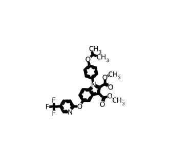 COC(=O)c1c(C(=O)OC)n(-c2ccc(OC(C)C)cc2)c2ccc(Oc3ccc(C(F)(F)F)cn3)cc12